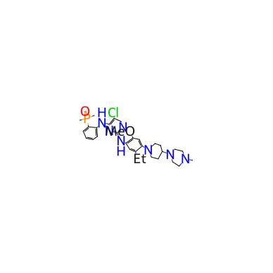 CCc1cc(Nc2ncc(Cl)c(Nc3ccccc3P(C)(C)=O)n2)c(OC)cc1N1CCC(N2CCN(C)CC2)CC1